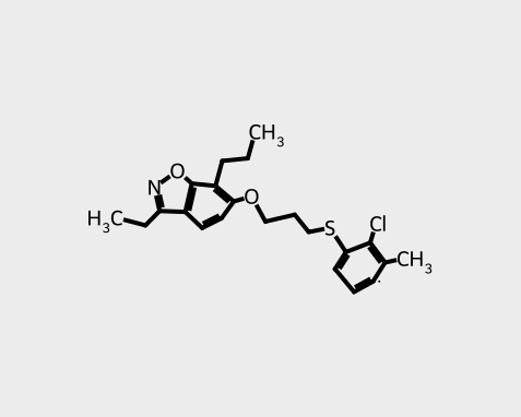 CCCc1c(OCCCSc2cc[c]c(C)c2Cl)ccc2c(CC)noc12